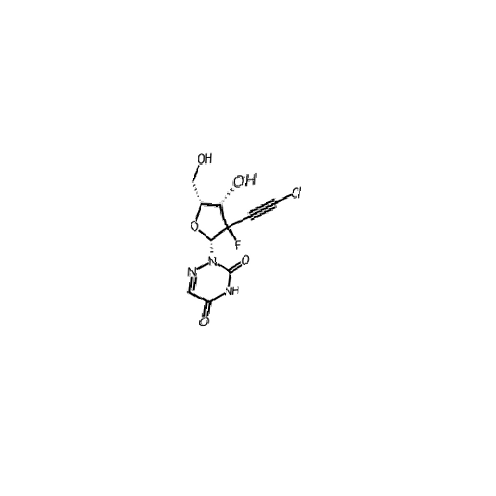 O=c1cnn([C@@H]2O[C@H](CO)[C@H](O)C2(F)C#CCl)c(=O)[nH]1